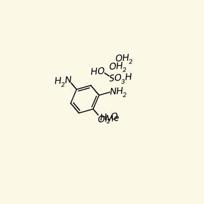 COc1ccc(N)cc1N.O.O.O.O=S(=O)(O)O